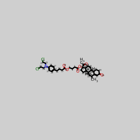 CC(=O)[C@@]1(OC(=O)CCCOC(=O)CCCc2ccc(N(CCCl)CCCl)cc2)CC[C@H]2[C@@H]3CC(C)C4=CC(=O)CC[C@]4(C)[C@H]3CC[C@@]21C